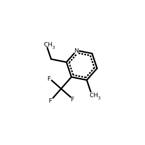 CCc1nccc(C)c1C(F)(F)F